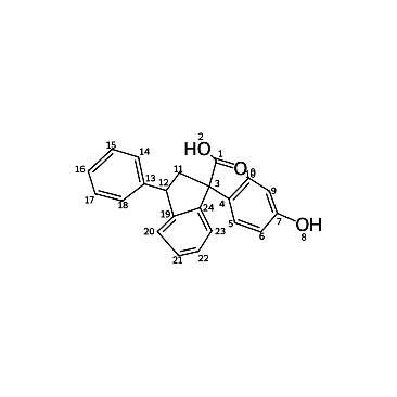 O=C(O)C1(c2ccc(O)cc2)CC(c2ccccc2)c2ccccc21